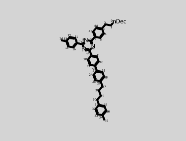 CCCCCCCCCCCCc1ccc(-c2nc(-c3ccc(C)cc3)nc(-c3ccc(-c4ccc(CCCCc5ccc(C)cc5)cc4)cc3)n2)cc1